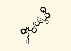 COCCCn1c([C@@H]2CCCN(C(=O)C[C@H](N)CNC(=O)c3cccc(N4CCCCC4)n3)C2)nc2ccccc21